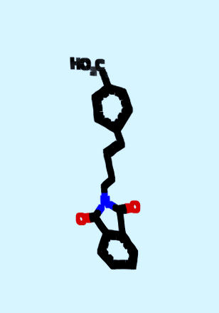 O=C(O)c1ccc(C=CCCN2C(=O)c3ccccc3C2=O)cc1